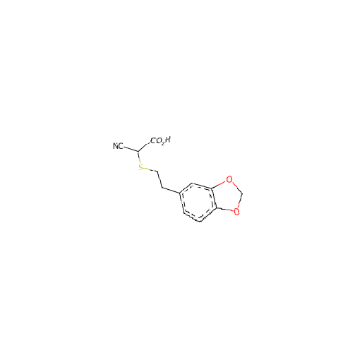 N#CC(SCCc1ccc2c(c1)OCO2)C(=O)O